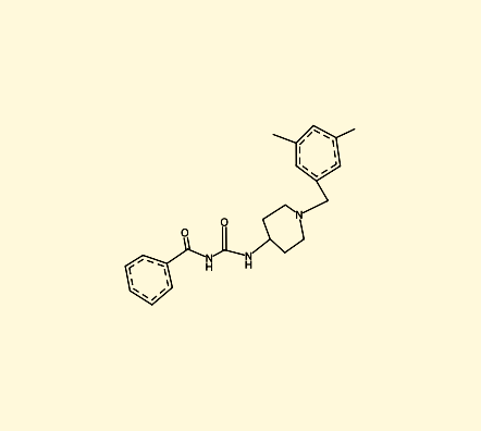 Cc1cc(C)cc(CN2CCC(NC(=O)NC(=O)c3ccccc3)CC2)c1